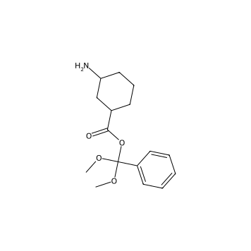 COC(OC)(OC(=O)C1CCCC(N)C1)c1ccccc1